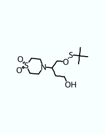 CC(C)(C)SOCC(CCO)N1CCS(=O)(=O)CC1